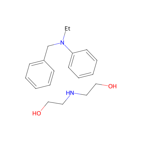 CCN(Cc1ccccc1)c1ccccc1.OCCNCCO